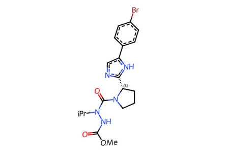 COC(=O)NN(C(=O)N1CCC[C@H]1c1ncc(-c2ccc(Br)cc2)[nH]1)C(C)C